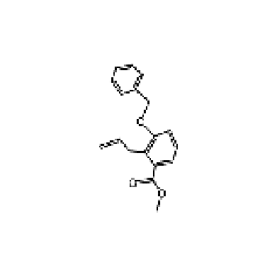 C=CCc1c(OCc2ccccc2)cccc1C(=O)OC